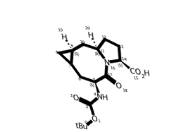 CC(C)(C)OC(=O)N[C@H]1CC2C[C@H]2C[C@H]2CC[C@@H](C(=O)O)N2C1=O